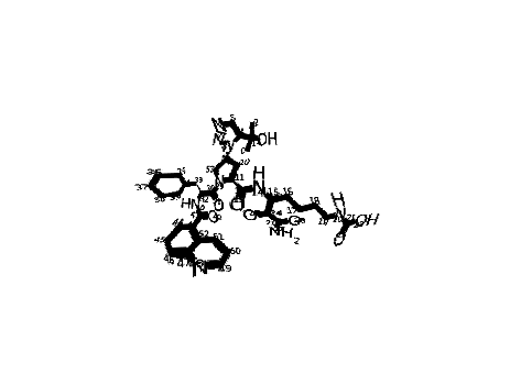 CC(C)(O)c1cnnn1[C@H]1C[C@@H](C(=O)NC(CCCCNC(=O)O)C(=O)C(N)=O)N(C(=O)[C@@H](CC2CCCCC2)NC(=O)c2cccc3ncccc23)C1